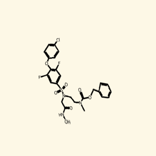 CN(CCN(CC(=O)NO)S(=O)(=O)c1cc(F)c(Oc2ccc(Cl)cc2)c(F)c1)C(=O)OCc1ccccc1